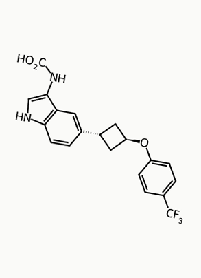 O=C(O)Nc1c[nH]c2ccc([C@H]3C[C@H](Oc4ccc(C(F)(F)F)cc4)C3)cc12